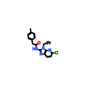 Cc1ccc(CC(=O)Nc2nc3ccc(Cl)nc3n2CC(C)C)cc1